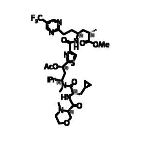 COC(=O)[C@@H](C)C[C@H](CCc1ncc(C(F)(F)F)cn1)NC(=O)c1csc([C@@H](C[C@H](C(C)C)N(C)C(=O)[C@H](CC2CC2)NC(=O)[C@H]2COCCN2C)OC(C)=O)n1